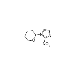 O=[N+]([O-])c1nccn1C1CCCCO1